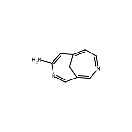 NC1=CC2=CC=NC=C(C=N1)C2